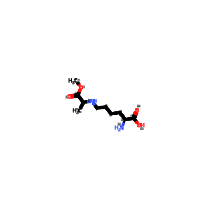 COC(=O)C(C)NCCCC[C@H](N)C(=O)O